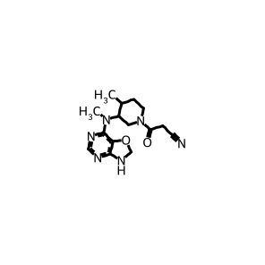 CC1CCN(C(=O)CC#N)CC1N(C)c1ncnc2c1OCN2